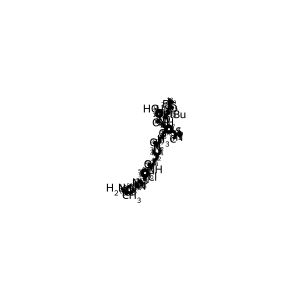 Cc1ncsc1-c1ccc(CNC(=O)[C@@H]2C[C@@H](O)CN2C(=O)[C@@H](NC(=O)C2(F)CC2)C(C)(C)C)c(OCCCC(=O)N2CCC(CCCC(=O)Nc3cccc(Sc4cnc(N5CCC(C)(CN)CC5)cn4)c3Cl)CC2)c1